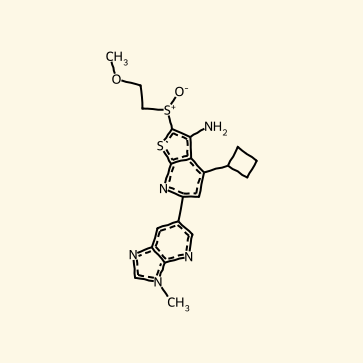 COCC[S+]([O-])c1sc2nc(-c3cnc4c(c3)ncn4C)cc(C3CCC3)c2c1N